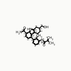 C=C(C)C(=O)Nc1cccc(-c2ccc(C(N)=O)c3[nH]c4c(c23)CCC(CO)C4)c1C